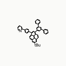 CC(C)(C)c1cc2ccc3c(-c4ccc(-c5ccccn5)cc4)cc(-c4cc(-c5ccccc5)cc(-c5ccccc5)c4)c4ccc(c1)c2c34